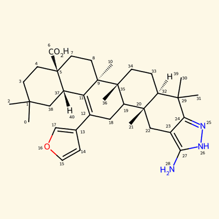 CC1(C)CC[C@]2(C(=O)O)CC[C@]3(C)C(=C(c4ccoc4)CC4[C@@]5(C)Cc6c(n[nH]c6N)C(C)(C)[C@@H]5CC[C@]43C)[C@@H]2C1